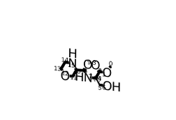 COC(=O)[C@@H](CO)NC(=O)C1COCCN1